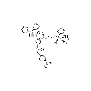 CC(C)C(C#N)(CCCCC(=O)N1CC(OC(=O)Cc2ccc([N+](=O)[O-])cc2)CC1C(=O)NC(c1ccccc1)c1ccccc1)c1ccccc1